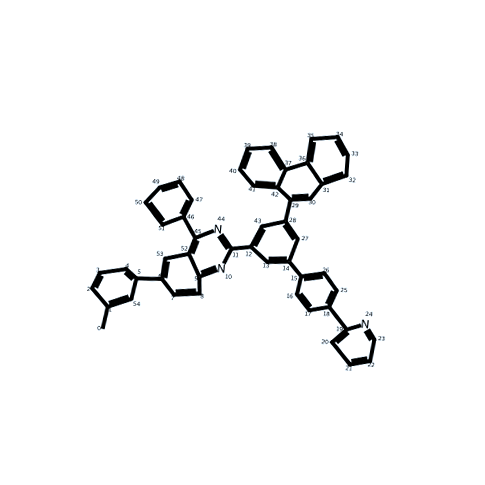 Cc1cccc(-c2ccc3nc(-c4cc(-c5ccc(-c6ccccn6)cc5)cc(-c5cc6ccccc6c6ccccc56)c4)nc(-c4ccccc4)c3c2)c1